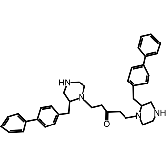 O=C(CCN1CCNCC1Cc1ccc(-c2ccccc2)cc1)CCN1CCNCC1Cc1ccc(-c2ccccc2)cc1